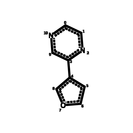 [c]1cnc(-c2ccoc2)cn1